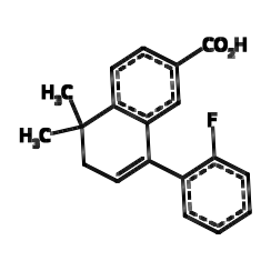 CC1(C)CC=C(c2ccccc2F)c2cc(C(=O)O)ccc21